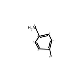 Cc1cc[c]([AlH2])cc1